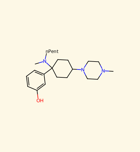 CCCCCN(C)C1(c2cccc(O)c2)CCC(N2CCN(C)CC2)CC1